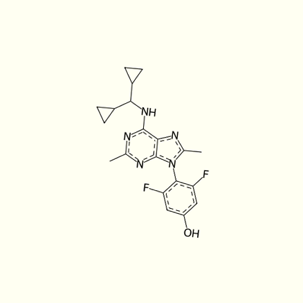 Cc1nc(NC(C2CC2)C2CC2)c2nc(C)n(-c3c(F)cc(O)cc3F)c2n1